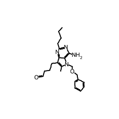 CCCCc1nc(N)c2c(n1)c(CCCC=O)c(C)n2COCc1ccccc1